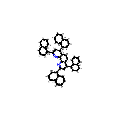 c1ccc2c(-c3cc(-c4cccc5ccccc45)c4ccc5c(-c6cccc7ccccc67)cc(-c6cccc7ccccc67)nc5c4n3)cccc2c1